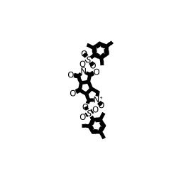 Cc1cc(C)c(S(=O)(=O)OC2C3C(=O)C4C(=O)N(OS(=O)(=O)c5c(C)cc(C)cc5C)C(=O)C4C3C[N+]2=O)c(C)c1